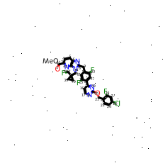 COC(=O)c1ccc2nc(Cc3cc(F)c(-c4ccnc(OCc5ccc(Cl)cc5F)n4)cc3F)n(CC3(CF)CC3)c2n1